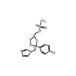 CS(=O)(=O)OC[C@@H]1CO[C@@](Cn2ccnc2)(c2ccc(Cl)cc2)O1